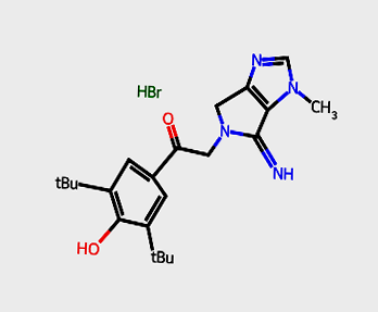 Br.Cn1cnc2c1C(=N)N(CC(=O)c1cc(C(C)(C)C)c(O)c(C(C)(C)C)c1)C2